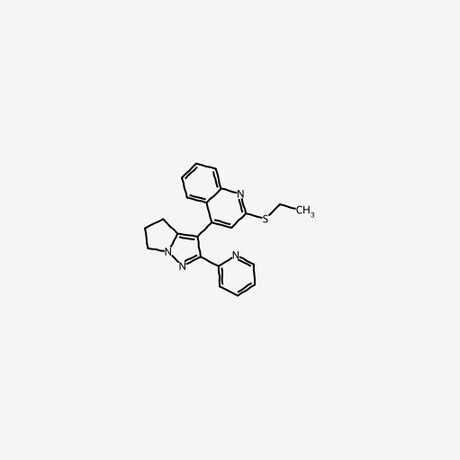 CCSc1cc(-c2c(-c3ccccn3)nn3c2CCC3)c2ccccc2n1